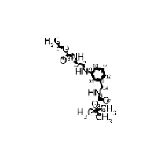 CCOC(=O)NSCNc1cccc(CNC(=O)OC(C)(C)C)c1